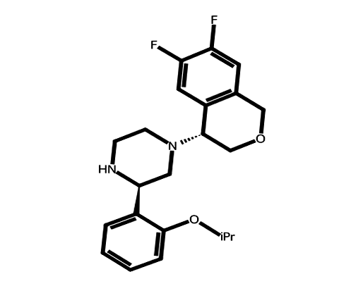 CC(C)Oc1ccccc1[C@@H]1CN([C@H]2COCc3cc(F)c(F)cc32)CCN1